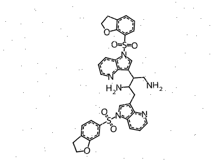 NCC(c1cn(S(=O)(=O)c2cccc3c2OCC3)c2cccnc12)C(N)Cc1cn(S(=O)(=O)c2ccc3c(c2)OCC3)c2cccnc12